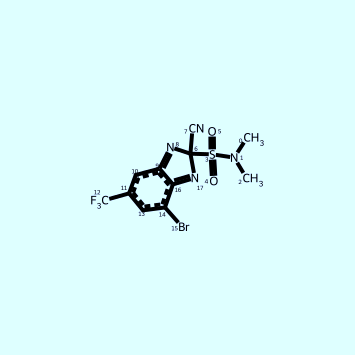 CN(C)S(=O)(=O)C1(C#N)N=c2cc(C(F)(F)F)cc(Br)c2=N1